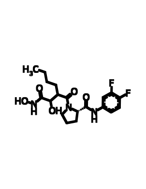 CCCCC(C(=O)N1CCC[C@H]1C(=O)Nc1ccc(F)c(F)c1)C(O)C(=O)NO